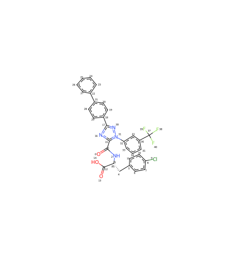 O=C(N[C@H](Cc1ccc(Cl)cc1)C(=O)O)c1nc(-c2ccc(-c3ccccc3)cc2)nn1-c1cccc(C(F)(F)F)c1